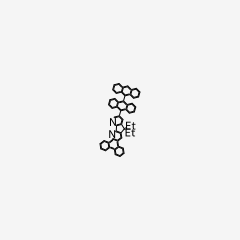 CCC1(CC)c2cc(-c3c4ccccc4c(-c4c5ccccc5cc5ccccc45)c4ccccc34)cnc2-c2nc3c4ccccc4c4ccccc4c3cc21